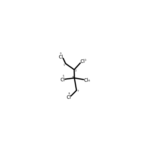 ClCC(Cl)C(Cl)(Cl)CCl